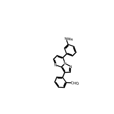 CNc1cccc(-c2ccnc3c(-c4ccccc4C=O)cnn23)c1